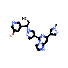 Cn1cc(-c2cc3nccn3c(-c3cnn(C(CC#N)c4cncc(Br)c4)c3)n2)cn1